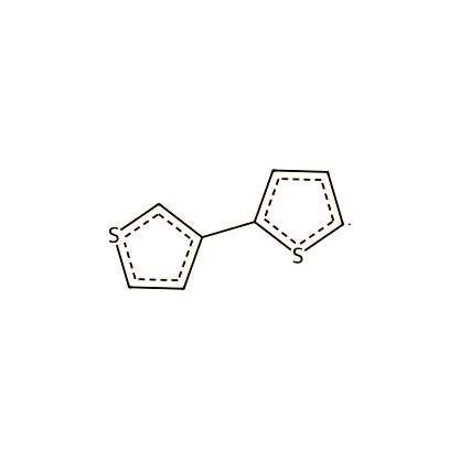 [c]1ccc(-c2ccsc2)s1